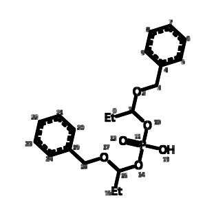 CCC(OCc1ccccc1)OP(=O)(O)OC(CC)OCc1ccccc1